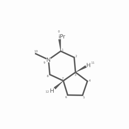 CC(C)[C@H]1C[C@@H]2CCC[C@@H]2CN1C